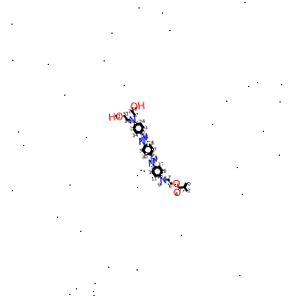 C=C(C)C(=O)OCCN(C)c1ccc(/N=N/c2ccc(/N=N/c3ccc(N(CCO)CCO)cc3)cc2)cc1